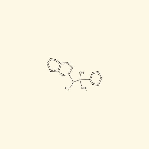 CC(c1ccc2ccccc2c1)C(N)(O)c1ccccc1